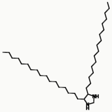 CCCCCCCCCCCCCCCCCC1NCNC1CCCCCCCCCCCCCCCCC